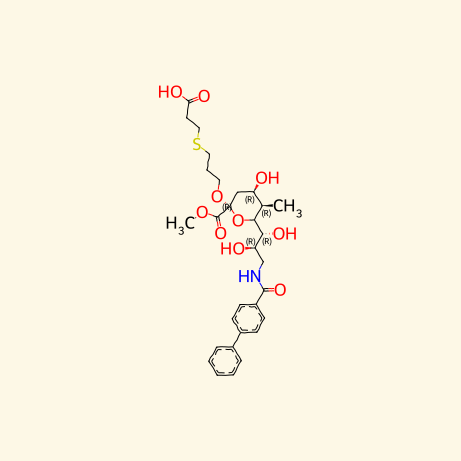 COC(=O)[C@@]1(OCCCSCCC(=O)O)C[C@@H](O)[C@@H](C)C([C@H](O)[C@H](O)CNC(=O)c2ccc(-c3ccccc3)cc2)O1